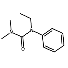 CCN(C(=O)N(C)C)c1ccccc1